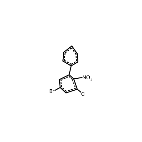 O=[N+]([O-])c1c(Cl)cc(Br)cc1-c1ccccc1